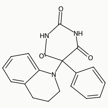 O=C1NC(=O)C(c2ccccc2)(N2CCCc3ccccc32)C(=O)N1